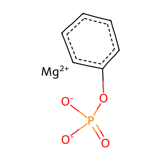 O=P([O-])([O-])Oc1ccccc1.[Mg+2]